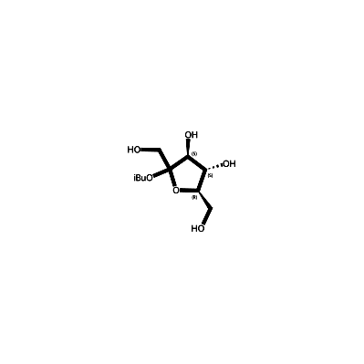 CC(C)COC1(CO)O[C@H](CO)[C@@H](O)[C@@H]1O